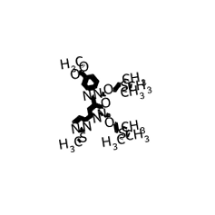 COC(=O)c1ccc2c(c1)nc(-c1cc(-c3ccnc(SC)n3)nn(COCC[Si](C)(C)C)c1=O)n2COCC[Si](C)(C)C